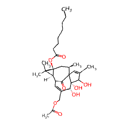 CCCCCCCC(=O)O[C@@]12C[C@@H](C)C34C=C(C)C(O)[C@@]3(O)[C@H](O)C(COC(C)=O)=CC(C4=O)[C@H]1C2(C)C